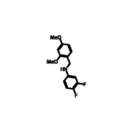 COc1ccc(CNc2ccc(F)c(F)c2)c(OC)c1